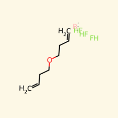 C=CCCOCCC=C.F.F.F.[B]